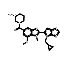 COc1cc(C(=O)N2CCC[C@@H](N)C2)cc2nc(-c3cc4scnc4n3CC3CC3)n(C)c12